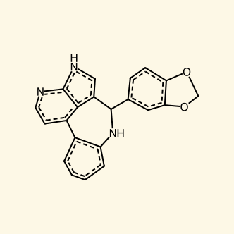 c1ccc2c(c1)NC(c1ccc3c(c1)OCO3)c1c[nH]c3nccc-2c13